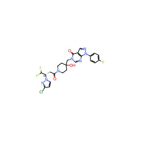 O=C(C[C@@H](C(F)F)n1ccc(Cl)n1)N1CCC(O)(Cn2cnc3c(cnn3-c3ccc(F)cc3)c2=O)CC1